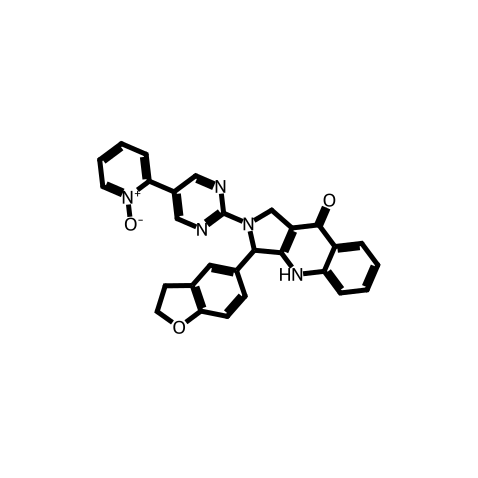 O=c1c2c([nH]c3ccccc13)C(c1ccc3c(c1)CCO3)N(c1ncc(-c3cccc[n+]3[O-])cn1)C2